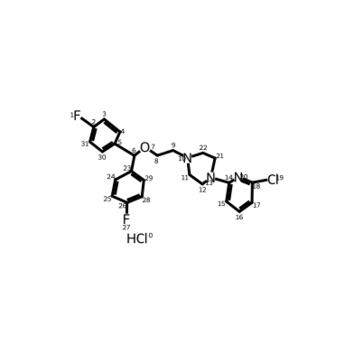 Cl.Fc1ccc(C(OCCN2CCN(c3cccc(Cl)n3)CC2)c2ccc(F)cc2)cc1